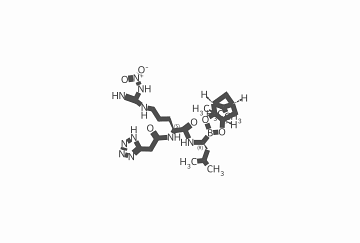 CC(C)C[C@H](NC(=O)[C@H](CCCNC(=N)N[N+](=O)[O-])NC(=O)Cc1nnn[nH]1)B1O[C@@H]2C[C@@H]3C[C@@H](C3(C)C)[C@]2(C)O1